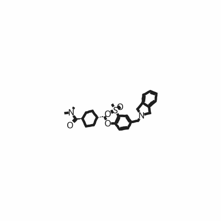 CN(C)C(=O)[C@H]1CC[C@H](COc2ccc(CN3Cc4ccccc4C3)cc2S(C)(=O)=O)CC1